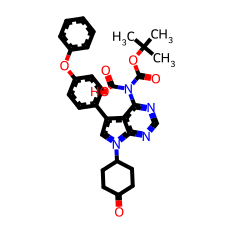 CC(C)(C)OC(=O)N(C(=O)O)c1ncnc2c1c(-c1ccc(Oc3ccccc3)cc1)cn2C1CCC(=O)CC1